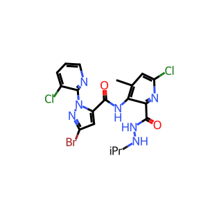 Cc1cc(Cl)nc(C(=O)NNC(C)C)c1NC(=O)c1cc(Br)nn1-c1ncccc1Cl